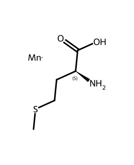 CSCC[C@H](N)C(=O)O.[Mn]